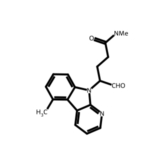 CNC(=O)CCC(C=O)n1c2cccc(C)c2c2cccnc21